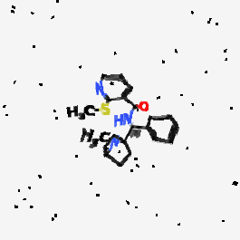 CSc1ncccc1C(=O)N[C@H](c1ccccc1)C12CCC(CC1)N2C